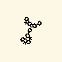 CC1(C)c2ccccc2-c2cc3c4cc(-c5ccccc5)ccc4n(-c4ccc(-c5ccc6c(c5)C(C)(C)c5cccc7c5N6c5ccccc5C7(C)C)cc4)c3cc21